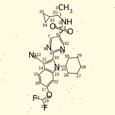 C[C@H](NS(=O)(=O)c1cnc(-c2c(C#N)c3ccc(OC(F)F)cc3n2C2CCCCC2)nc1)C1CC1